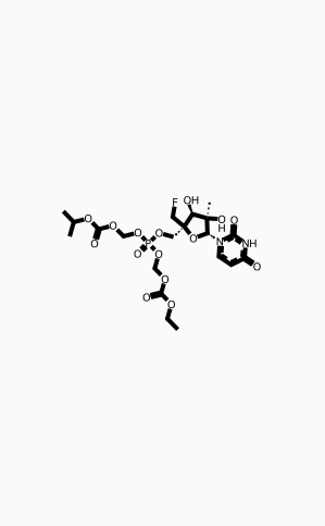 CCOC(=O)OCOP(=O)(OCOC(=O)OC(C)C)OC[C@@]1(CF)O[C@@H](n2ccc(=O)[nH]c2=O)[C@](C)(O)[C@@H]1O